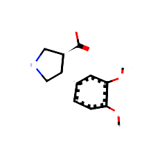 COc1ccc([C@@H]2CNC[C@H]2C(=O)O)cc1OC